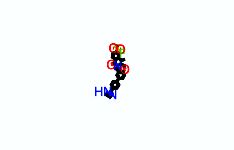 CCc1c(C(=O)N2CCOc3ccc(-c4ccc(-c5ncc[nH]5)cc4)cc3C2)ccc(S(C)(=O)=O)c1F